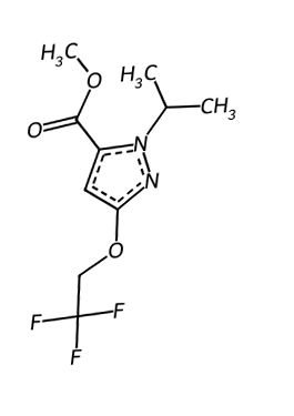 COC(=O)c1cc(OCC(F)(F)F)nn1C(C)C